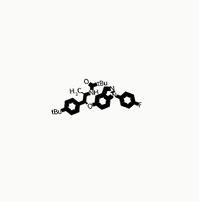 C[C@H](NC(=O)C(C)(C)C)[C@@H](Oc1ccc2c(cnn2-c2ccc(F)cc2)c1)c1ccc(C(C)(C)C)cc1